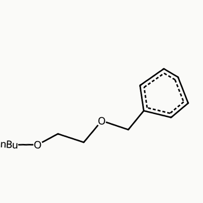 CCCCOCCOCc1ccccc1